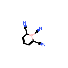 N#CB1C(C#N)=CC=CC1C#N